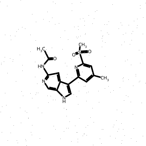 CC(=O)Nc1cc2c(-c3cc(C)cc(S(C)(=O)=O)n3)c[nH]c2cn1